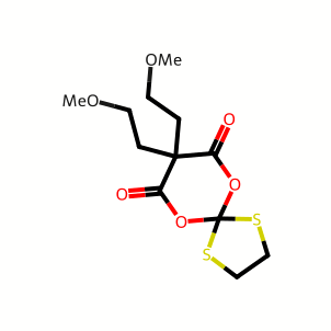 COCCC1(CCOC)C(=O)OC2(OC1=O)SCCS2